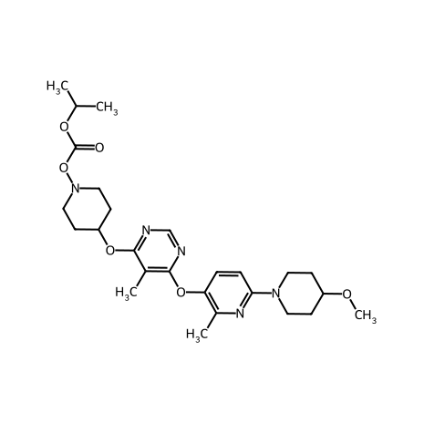 COC1CCN(c2ccc(Oc3ncnc(OC4CCN(OC(=O)OC(C)C)CC4)c3C)c(C)n2)CC1